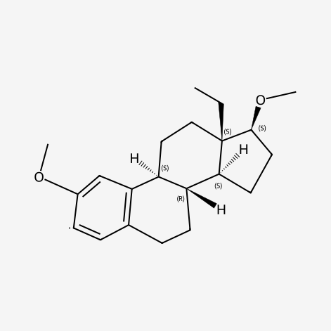 CC[C@]12CC[C@@H]3c4cc(OC)[c]cc4CC[C@H]3[C@@H]1CC[C@@H]2OC